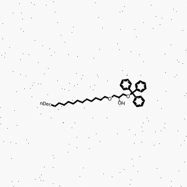 CCCCCCCCCCCCCCCCCCCCCCOC[C@@H](O)COC(c1ccccc1)(c1ccccc1)c1ccccc1